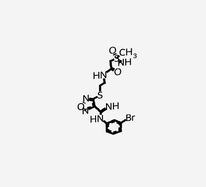 CS(=N)(=O)CC(=O)NCCSc1nonc1C(=N)Nc1cccc(Br)c1